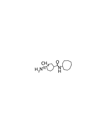 C[C@@H](N)C1CCCC(C(=O)NC2CCCCCCCC2)CC1